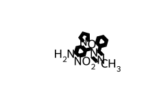 CN1CCN(C(=O)c2cc([N+](=O)[O-])c(N)cc2N2CCCC2)C(c2ccccc2)C1